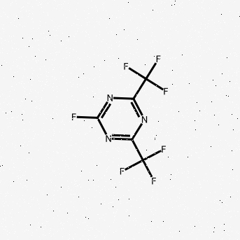 Fc1nc(C(F)(F)F)nc(C(F)(F)F)n1